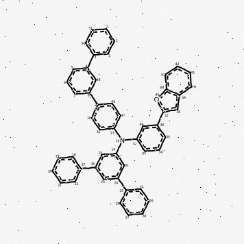 c1ccc(-c2cccc(-c3ccc(N(c4cc(-c5ccccc5)cc(-c5ccccc5)c4)c4cccc(-c5cc6ccccc6o5)c4)cc3)c2)cc1